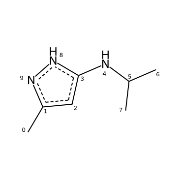 Cc1cc(NC(C)C)[nH]n1